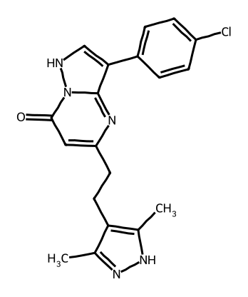 Cc1n[nH]c(C)c1CCc1cc(=O)n2[nH]cc(-c3ccc(Cl)cc3)c2n1